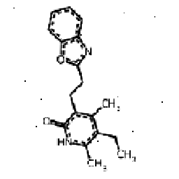 CCc1c(C)[nH]c(=O)c(CCc2nc3ccccc3o2)c1C